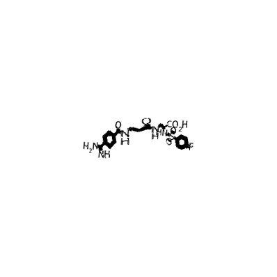 N=C(N)c1ccc(C(=O)NCCC(=O)NC[C@H](NS(=O)(=O)c2ccc(F)cc2)C(=O)O)cc1